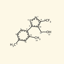 Cc1ccc(-c2snc(C(F)(F)F)c2CO)c(C)c1